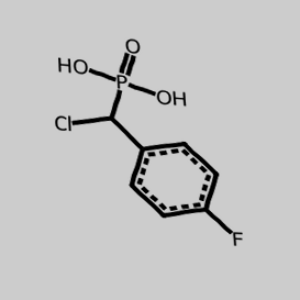 O=P(O)(O)C(Cl)c1ccc(F)cc1